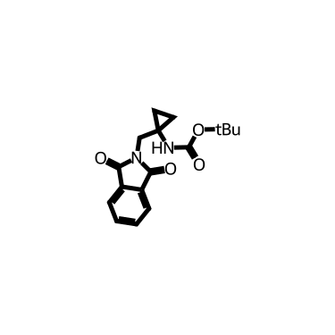 CC(C)(C)OC(=O)NC1(CN2C(=O)c3ccccc3C2=O)CC1